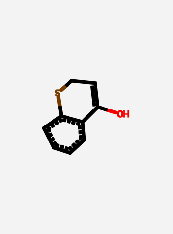 OC1=CCSc2ccccc21